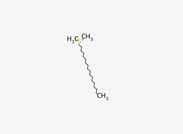 CCCCCCCCCCCCCCCCCC[S+](C)CC